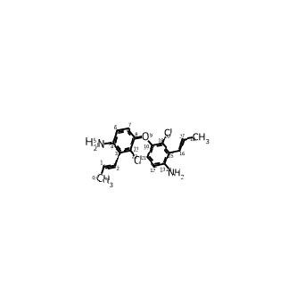 CC=Cc1c(N)ccc(Oc2ccc(N)c(C=CC)c2Cl)c1Cl